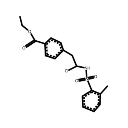 CCOC(=O)c1ccc(CC(Cl)NS(=O)(=O)c2ccccc2C)cc1